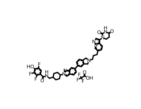 O=C(O)C(F)(F)F.O=C1CCN(c2cnn3cc(CCCN4Cc5ccc(-c6ccc7cn(C8CCC(CNC(=O)c9cc(F)c(O)c(F)c9F)CC8)nc7c6)cc5C4)ccc23)C(=O)N1